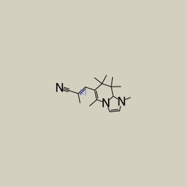 CC1=C(/C=C(\C)C#N)C(C)(C)C(C)(C)C2N(C)C=CN12